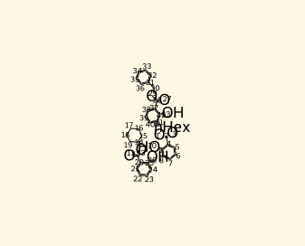 CCCCCCOC(=O)c1ccccc1O.O=C(OC1CCCCC1)c1ccccc1O.O=C(OCc1ccccc1)c1ccccc1O